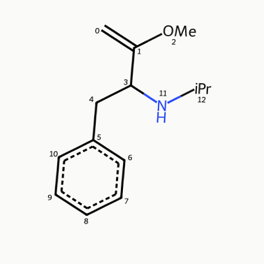 C=C(OC)C(Cc1ccccc1)NC(C)C